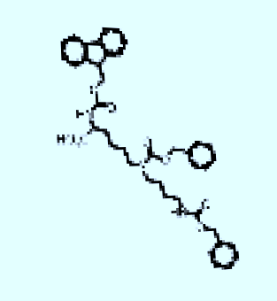 O=C(NCCCCN(CCCC[C@H](NC(=O)OCC1c2ccccc2-c2ccccc21)C(=O)O)C(=O)OCc1ccccc1)OCc1ccccc1